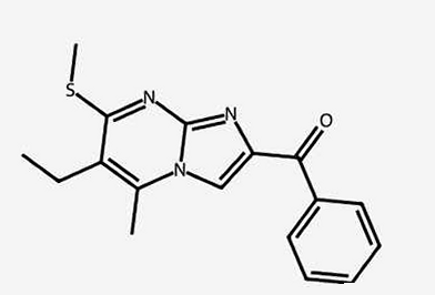 CCc1c(SC)nc2nc(C(=O)c3ccccc3)cn2c1C